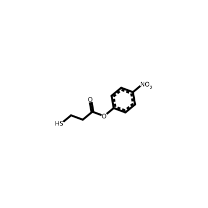 O=C(CCS)Oc1ccc([N+](=O)[O-])cc1